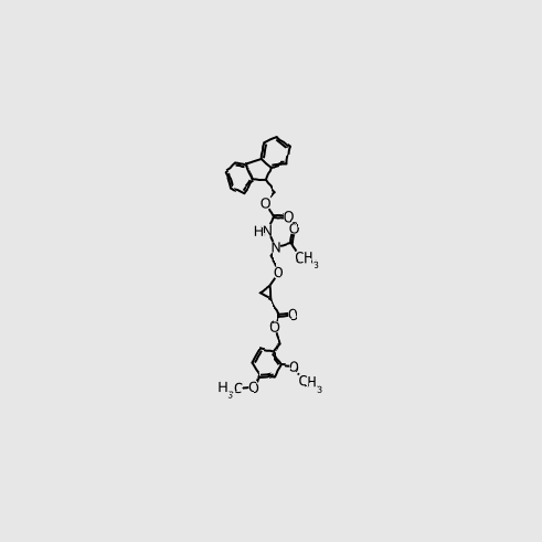 COc1ccc(COC(=O)C2CC2OCN(NC(=O)OCC2c3ccccc3-c3ccccc32)C(C)=O)c(OC)c1